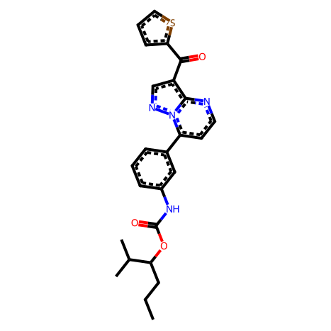 CCCC(OC(=O)Nc1cccc(-c2ccnc3c(C(=O)c4cccs4)cnn23)c1)C(C)C